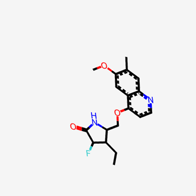 CCC1C(COc2ccnc3cc(C)c(OC)cc23)NC(=O)C1F